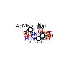 CC(=O)Nc1ccc(N=Nc2c(N)ccc3cc(S(=O)(=O)[O-])cc(O)c23)c(S(=O)(=O)[O-])c1.[Na+].[Na+]